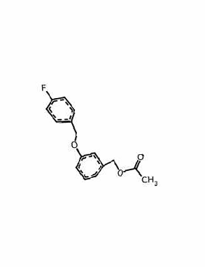 CC(=O)OCc1cccc(OCc2ccc(F)cc2)c1